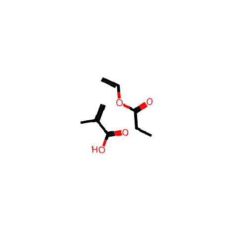 C=C(C)C(=O)O.C=COC(=O)CC